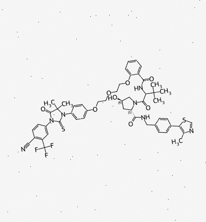 Cc1ncsc1-c1ccc(CNC(=O)[C@@H]2C[C@@H](O)CN2C(=O)C(NC(=O)c2ccccc2OCCOCCOc2ccc(N3C(=S)N(c4ccc(C#N)c(C(F)(F)F)c4)C(=O)C3(C)C)cc2)C(C)(C)C)cc1